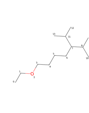 CCOCCCCC(C(C)C)C(C)C